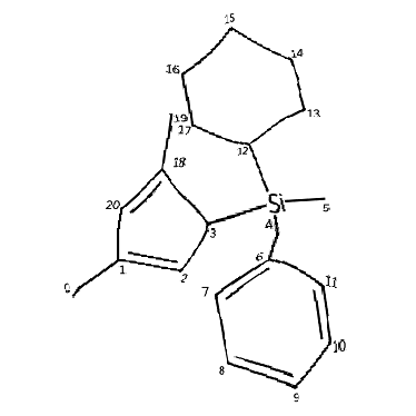 CC1=C[C]([Si](C)(c2ccccc2)C2CCCCC2)C(C)=C1